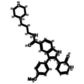 COc1ccc(-c2c(-c3ccc[nH]c3=O)[nH]c3ccc(C(=O)NCCCN4CCOCC4)cc23)cc1